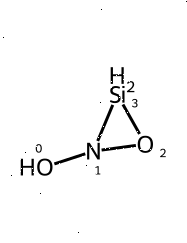 ON1O[SiH2]1